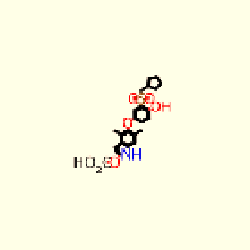 Cc1cc2[nH]c(OC(=O)O)cc2c(C)c1Oc1ccc(O)c(S(=O)(=O)CC2CCCC2)c1